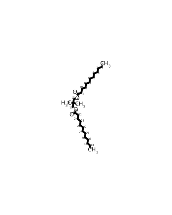 CCCCCCCCCCCCC(=O)OCC(C)(C)COC(=O)CCCCCCCCCCCC